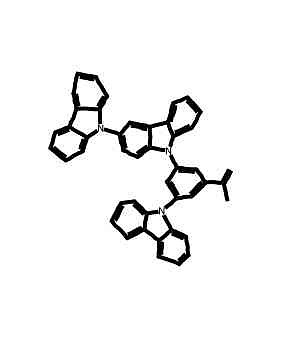 C=C(C)c1cc(-n2c3ccccc3c3ccccc32)cc(-n2c3ccccc3c3cc(-n4c5ccccc5c5ccccc54)ccc32)c1